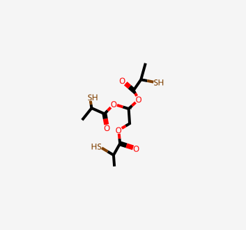 CC(S)C(=O)OC[C](OC(=O)C(C)S)OC(=O)C(C)S